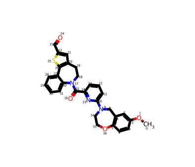 COc1ccc2c(c1)CN(c1cccc(C(=O)N3CCc4cc(C=O)sc4-c4ccccc43)n1)CCO2